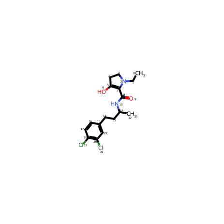 CCN1CCC(O)=C1C(=O)NC(C)CCc1ccc(Cl)c(Cl)c1